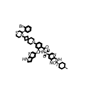 C[C@H]1CC[C@@H](CNc2ncc(S(=O)(=O)NC(=O)c3ccc(N4CCC5(CC4)CC(N4CCSC[C@H]4c4ccccc4Br)C5)cc3Oc3cnc4[nH]ccc4c3)cc2[N+](=O)[O-])CC1